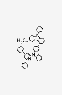 C=Cc1ccc2c(c1)c1c(-c3ccc4c(c3)c3ccccc3n4-c3cc(-c4ccccc4)cc(-c4ccccc4)n3)cccc1n2-c1ccccc1